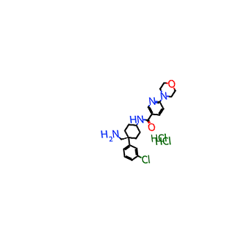 Cl.Cl.NC[C@]1(c2cccc(Cl)c2)CC[C@H](NC(=O)c2ccc(N3CCOCC3)nc2)CC1